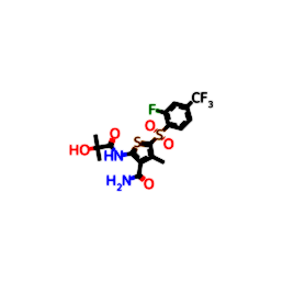 Cc1c(S(=O)(=O)c2ccc(C(F)(F)F)cc2F)sc(NC(=O)C(C)(C)O)c1C(N)=O